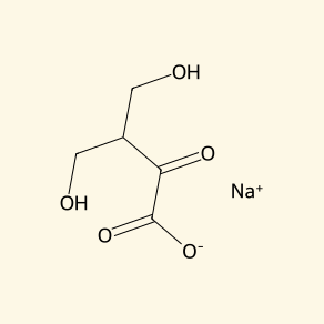 O=C([O-])C(=O)C(CO)CO.[Na+]